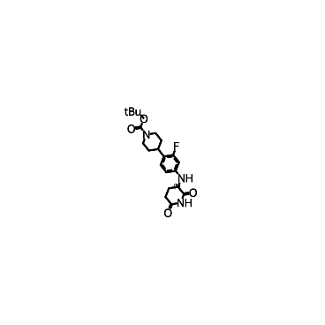 CC(C)(C)OC(=O)N1CCC(c2ccc(N[C@@H]3CCC(=O)NC3=O)cc2F)CC1